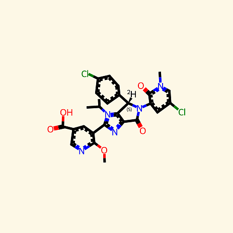 [2H][C@]1(c2ccc(Cl)cc2)c2c(nc(-c3cc(C(=O)O)cnc3OC)n2C(C)C)C(=O)N1c1cc(Cl)cn(C)c1=O